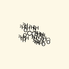 [2H]N([2H])c1nc(N2C([2H])([2H])C([2H])([2H])N(C(=O)C3CCCO3)C([2H])([2H])C2([2H])[2H])nc2cc(OC([2H])([2H])[2H])c(OC([2H])([2H])[2H])cc12